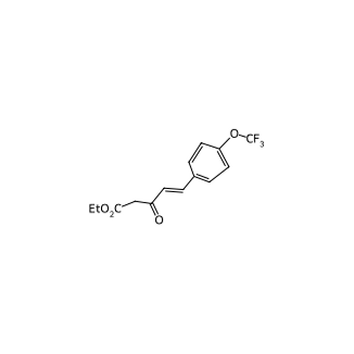 CCOC(=O)CC(=O)C=Cc1ccc(OC(F)(F)F)cc1